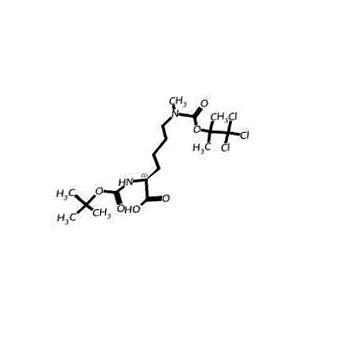 CN(CCCC[C@H](NC(=O)OC(C)(C)C)C(=O)O)C(=O)OC(C)(C)C(Cl)(Cl)Cl